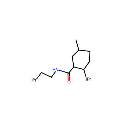 CC(C)CCNC(=O)C1CC(C)CCC1C(C)C